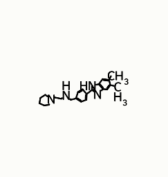 Cc1cc2nc(-c3ccc(CNCCN4CCCCC4)cc3)[nH]c2cc1C